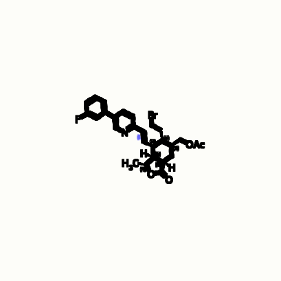 CC(=O)OC[C@H]1C[C@H]2C(=O)O[C@H](C)[C@H]2[C@@H](/C=C/c2ccc(-c3cccc(F)c3)cn2)[C@@H]1CCBr